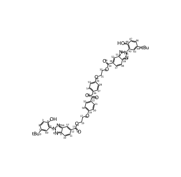 CC(C)(C)c1ccc(O)c(-n2nc3ccc(C(=O)OCCOc4ccc(S(=O)(=O)c5ccc(OCCOC(=O)c6ccc7nn(-c8cc(C(C)(C)C)ccc8O)nc7c6)cc5)cc4)cc3n2)c1